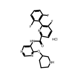 Cl.O=C(Nc1cncnc1OC1CCCNC1)c1ccc(F)c(-c2c(F)cccc2F)n1